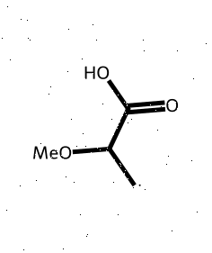 [CH2]C(OC)C(=O)O